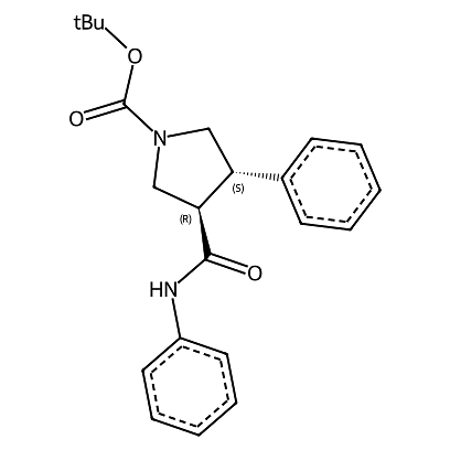 CC(C)(C)OC(=O)N1C[C@H](C(=O)Nc2ccccc2)[C@@H](c2ccccc2)C1